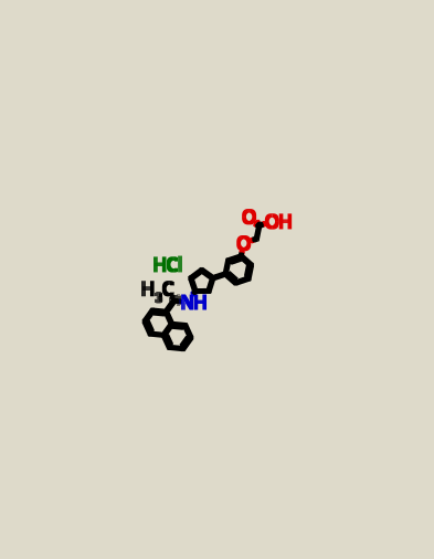 C[C@@H](NC1CCC(c2cccc(OCC(=O)O)c2)C1)c1cccc2ccccc12.Cl